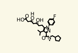 CC(C)c1c(C(=O)N(C)CC2CCCC2)nn(-c2ccc(F)cc2)c1CC[C@@H](O)C[C@@H](O)CC(=O)O